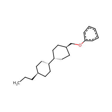 CCC[C@H]1CC[C@H]([C@H]2CC[C@H](COc3ccccc3)CC2)CC1